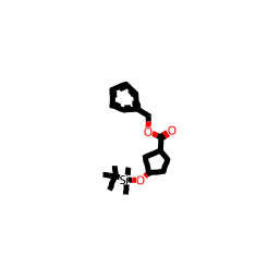 CC(C)(C)[Si](C)(C)OC1CCC(C(=O)OCc2ccccc2)C1